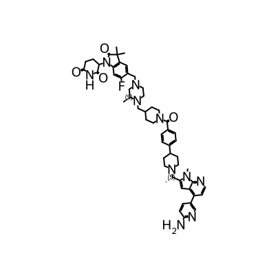 C[C@H]1CN(Cc2cc3c(cc2F)N(C2CCC(=O)NC2=O)C(=O)C3(C)C)CCN1CC1CCN(C(=O)c2ccc(C3CCN([C@@H](C)c4cc5c(-c6ccc(N)nc6)ccnc5n4C)CC3)cc2)CC1